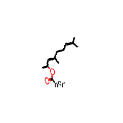 CCCC(=O)OC(C)/C=C(\C)CCC=C(C)C